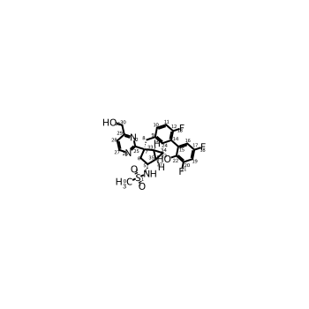 CS(=O)(=O)N[C@@H]1C[C@@](Cc2ccc(F)c(-c3cc(F)cc(F)c3O)c2)(c2nccc(CO)n2)[C@H]2C[C@@H]12